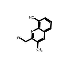 Cc1cc2cccc(O)c2nc1CC(C)C